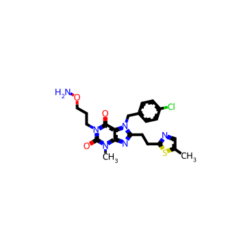 Cc1cnc(CCc2nc3c(c(=O)n(CCCON)c(=O)n3C)n2Cc2ccc(Cl)cc2)s1